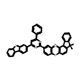 CC1(C)c2ccccc2-c2c1ccc1c2Oc2cc(-c3nc(-c4ccccc4)cc(-c4ccc5c(c4)sc4ccccc45)n3)ccc2O1